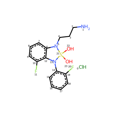 Cl.NCCCN1c2cccc(F)c2N(c2ccccc2F)S1(O)O